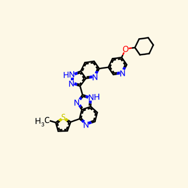 Cc1ccc(-c2nccc3[nH]c(-c4n[nH]c5ccc(-c6cncc(OC7CCCCC7)c6)nc45)nc23)s1